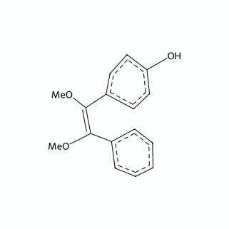 COC(=C(OC)c1ccc(O)cc1)c1ccccc1